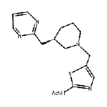 CC(=O)Nc1ncc(CN2CCC[C@H](Cc3ncccn3)C2)s1